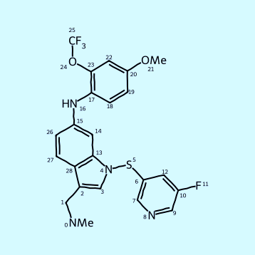 CNCc1cn(Sc2cncc(F)c2)c2cc(Nc3ccc(OC)cc3OC(F)(F)F)ccc12